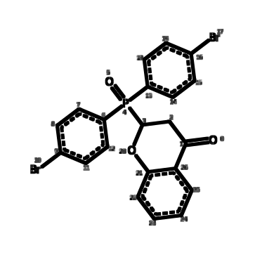 O=C1CC(P(=O)(c2ccc(Br)cc2)c2ccc(Br)cc2)Oc2ccccc21